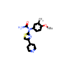 CCCCOc1ccc(N(C(N)=O)c2nc(-c3ccncc3)cs2)cc1C(F)(F)F